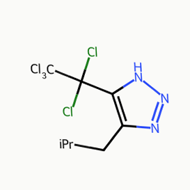 CC(C)Cc1nn[nH]c1C(Cl)(Cl)C(Cl)(Cl)Cl